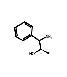 C[C@@H](O)C(N)c1ccccc1